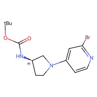 CC(C)(C)OC(=O)N[C@@H]1CCN(c2ccnc(Br)c2)C1